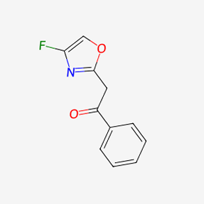 O=C(Cc1nc(F)co1)c1ccccc1